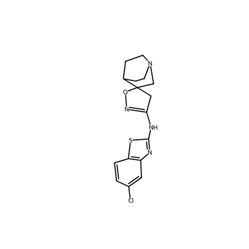 Clc1ccc2sc(NC3=NOC4(C3)CN3CCC4CC3)nc2c1